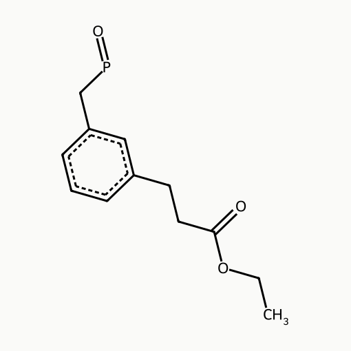 CCOC(=O)CCc1cccc(CP=O)c1